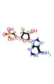 Nc1ncnc2c1ncn2[C@@H]1O[C@H](OCP(=O)(O)O)C(F)[C@@H]1O